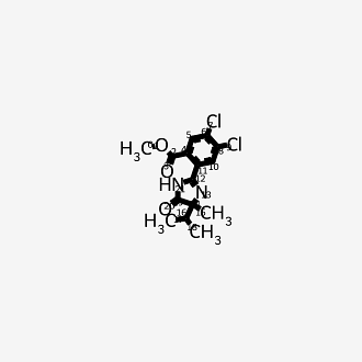 COC(=O)c1cc(Cl)c(Cl)cc1C1=NC(C)(C(C)C)C(=O)N1